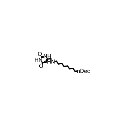 CCCCCCCCCCCCCCCCCCNCc1cc(=O)[nH]c(=O)[nH]1